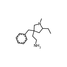 CCC1CC(CCN)(Cc2ccccc2)CN1C